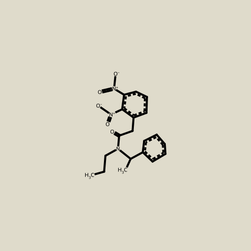 CCCN(C(=O)Cc1cccc([N+](=O)[O-])c1[N+](=O)[O-])C(C)c1ccccc1